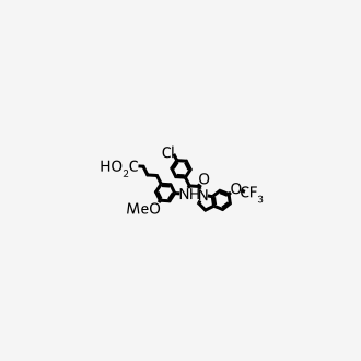 COc1cc(CCCC(=O)O)cc(NC(C(=O)N2CCc3ccc(OC(F)(F)F)cc32)c2ccc(Cl)cc2)c1